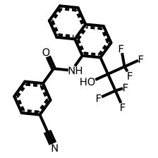 N#Cc1cccc(C(=O)Nc2c(C(O)(C(F)(F)F)C(F)(F)F)ccc3ccccc23)c1